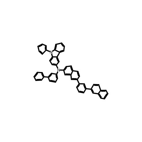 c1ccc(-c2cccc(N(c3ccc4ccc(-c5cccc(-c6ccc7ccccc7c6)c5)cc4c3)c3ccc4c(c3)c3ccccc3n4-c3ccccc3)c2)cc1